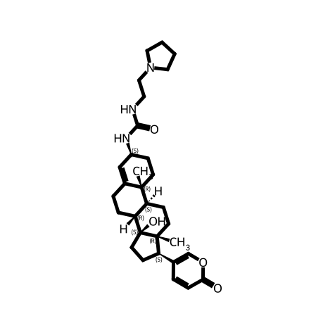 C[C@]12CC[C@H](NC(=O)NCCN3CCCC3)C=C1CC[C@@H]1[C@@H]2CC[C@]2(C)[C@@H](c3ccc(=O)oc3)CC[C@]12O